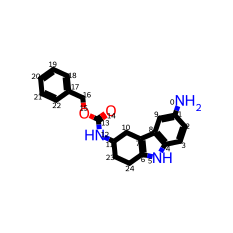 Nc1ccc2[nH]c3c(c2c1)CC(NC(=O)OCc1ccccc1)CC3